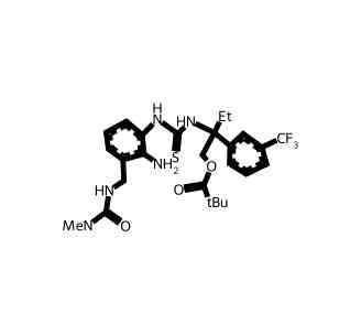 CCC(COC(=O)C(C)(C)C)(NC(=S)Nc1cccc(CNC(=O)NC)c1N)c1cccc(C(F)(F)F)c1